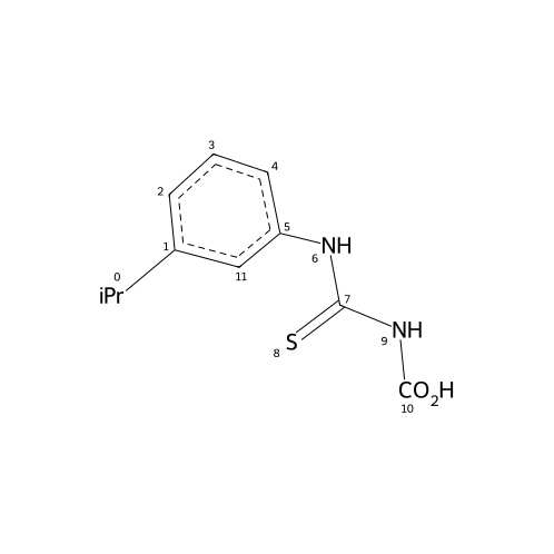 CC(C)c1cccc(NC(=S)NC(=O)O)c1